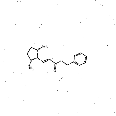 NC1CCN(N)C1/C=C/C(=O)OCc1ccccc1